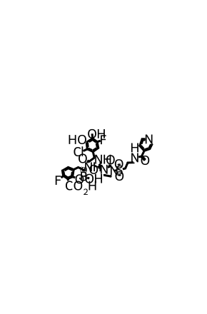 O=C(NCCCS(=O)(=O)N1CCN(C(=O)NC(C(=O)N[C@H]2Cc3ccc(F)c(C(=O)O)c3OB2O)c2cc(F)c(O)c(O)c2Cl)C1=O)c1ccncc1